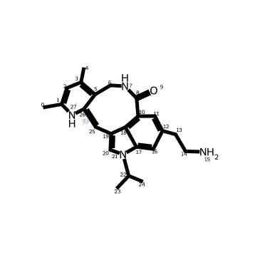 CC1=CC(C)=C2CNC(=O)c3cc(CCN)cc4c3c(cn4C(C)C)/C=C\2N1